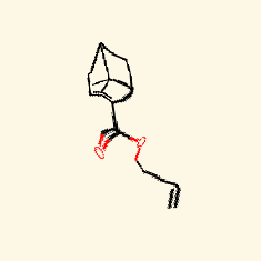 C=CCOC(=O)C1=CCC2CC1C2(C)C